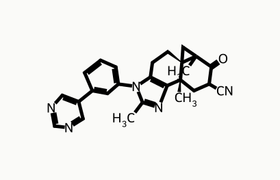 Cc1nc2c(n1-c1cccc(-c3cncnc3)c1)CC[C@@]13CC1(C)C(=O)C(C#N)C[C@]23C